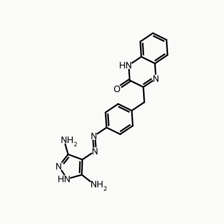 Nc1n[nH]c(N)c1/N=N/c1ccc(Cc2nc3ccccc3[nH]c2=O)cc1